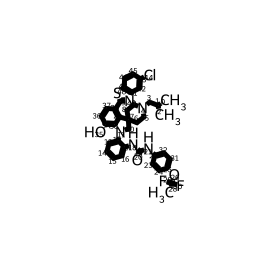 CC(C)CN1CCC2(CC1)CN(c1ccccc1NC(=O)Nc1ccc(OC(C)(F)F)cc1)c1c(O)ccc(-c3nc4cc(Cl)ccc4s3)c12